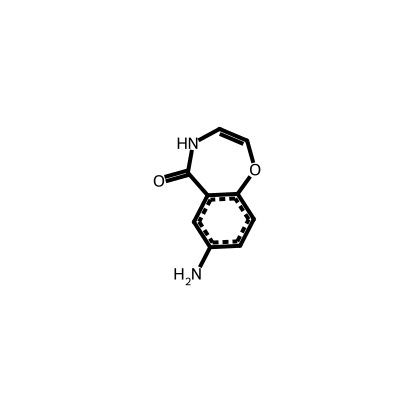 Nc1ccc2c(c1)C(=O)NC=CO2